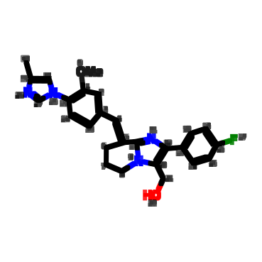 COc1cc(C=C2CCCn3c2nc(-c2ccc(F)cc2)c3CO)ccc1-n1cnc(C)c1